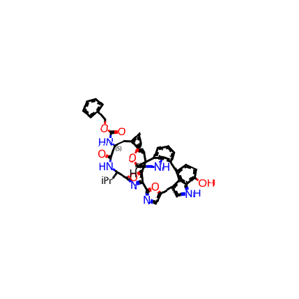 CC(C)C1NC(=O)[C@@H](NC(=O)OCc2ccccc2)Cc2ccc3c(c2)C24c5cccc(c5N[C@H]2O3)-c2ccc(O)c3[nH]cc(c23)-c2cnc(o2)-c2nc1oc24